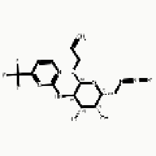 C=CCO[C@H]1O[C@H](CN=[N+]=[N-])[C@H](O)[C@H](O)[C@H]1Nc1nccc(C(F)(F)F)n1